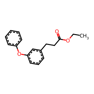 CCOC(=O)CCc1cccc(Oc2ccccc2)c1